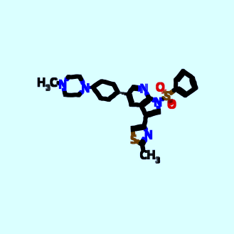 Cc1nc(-c2cn(S(=O)(=O)c3ccccc3)c3ncc([C@H]4CC[C@@H](N5CCN(C)CC5)CC4)cc23)cs1